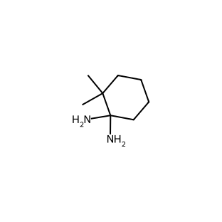 CC1(C)CCCCC1(N)N